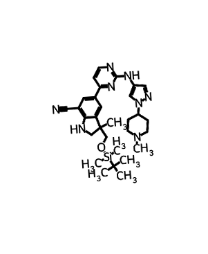 CN1CCC(n2cc(Nc3nccc(-c4cc(C#N)c5c(c4)C(C)(CO[Si](C)(C)C(C)(C)C)CN5)n3)cn2)CC1